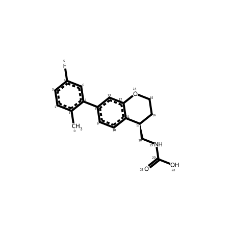 Cc1ccc(F)cc1-c1ccc2c(c1)OCC[C@H]2CNC(=O)O